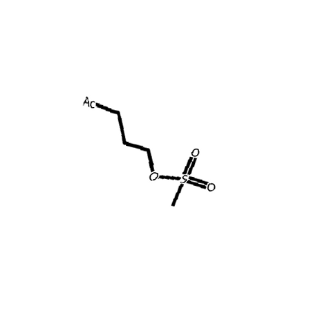 CC(=O)CCCOS(C)(=O)=O